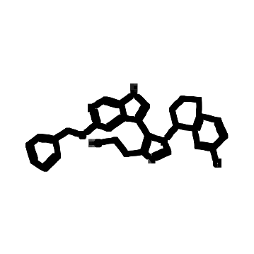 OCCc1ncn(C2CCCc3ccc(Cl)cc32)c1-c1c[nH]c2cnc(OCc3ccccc3)cc12